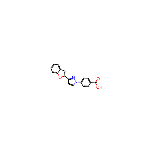 O=C(O)c1ccc(-n2ccc(-c3cc4ccccc4o3)n2)cc1